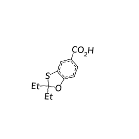 CCC1(CC)Oc2ccc(C(=O)O)cc2S1